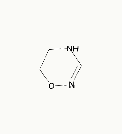 C1=NOCCN1